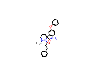 CN1CCCC(C(N)=O)(c2cccc(Oc3ccccc3)c2)N1C(=O)CCc1ccccc1